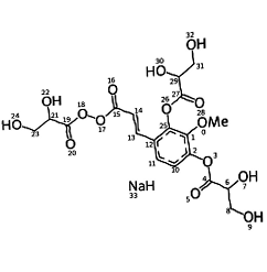 COc1c(OC(=O)C(O)CO)ccc(C=CC(=O)OOC(=O)C(O)CO)c1OC(=O)C(O)CO.[NaH]